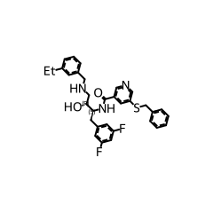 CCc1cccc(CNC[C@@H](O)[C@H](Cc2cc(F)cc(F)c2)NC(=O)c2cncc(SCc3ccccc3)c2)c1